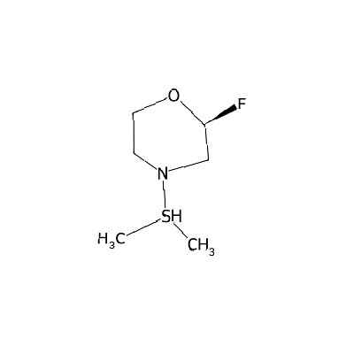 C[SH](C)N1CCO[C@@H](F)C1